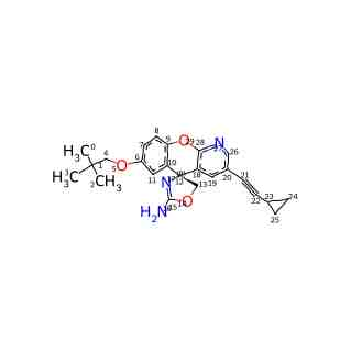 CC(C)(C)COc1ccc2c(c1)[C@]1(COC(N)=N1)c1cc(C#CC3CC3)cnc1O2